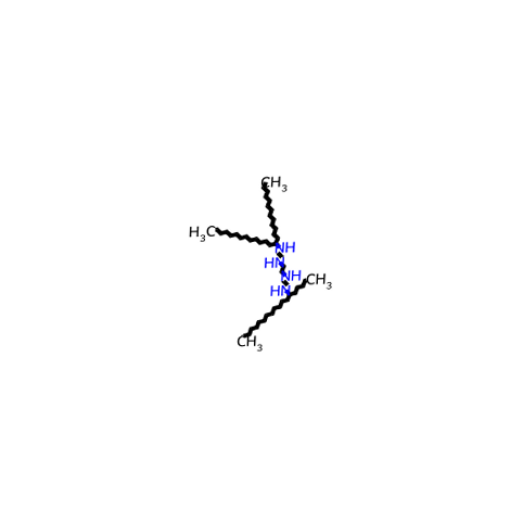 CCCCCCCCCCCCCC(CCCCC)NCCNCCNCCNC(CCCCCCCCCCCCC)CCCCCCCCCCCCC